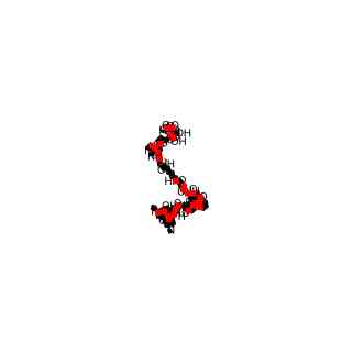 CC/N=c1\ccc2c(-c3ccc(C(=O)NCc4c(O)ccc5c(-c6ccccc6C(=O)O)c6ccc(=O)c(CNC(=O)CCC(=O)NCCCCCC(=O)NCC#Cc7cn([C@H]8CC[C@@H](COP(=O)(O)OP(=O)(O)OP(=O)(O)OP(=O)(O)OC)O8)c8ncnc(N)c78)c-6oc45)cc3C(=O)O)c3ccc(N(C)C)cc3oc-2c1